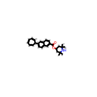 CC1(C)CC(OC(=O)c2ccc3cc(C4C=CC=CC=C4)ccc3c2)CC(C)(C)N1